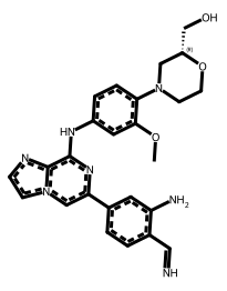 COc1cc(Nc2nc(-c3ccc(C=N)c(N)c3)cn3ccnc23)ccc1N1CCO[C@@H](CO)C1